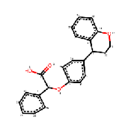 O=C(O)C(Oc1ccc(C2CCOc3ccccc32)cc1)c1ccccc1